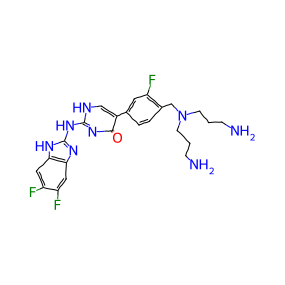 NCCCN(CCCN)Cc1ccc(-c2c[nH]c(Nc3nc4cc(F)c(F)cc4[nH]3)nc2=O)cc1F